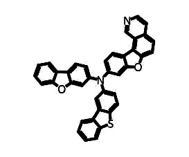 c1ccc2c(c1)oc1cc(N(c3ccc4c(c3)oc3ccc5ccncc5c34)c3ccc4sc5ccccc5c4c3)ccc12